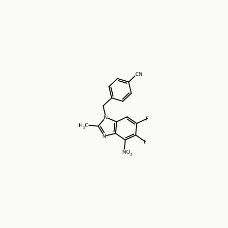 Cc1nc2c([N+](=O)[O-])c(F)c(F)cc2n1Cc1ccc(C#N)cc1